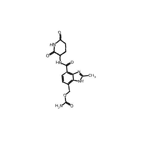 Cc1nc2c(C(=O)NC3CCC(=O)NC3=O)ccc(COC(N)=O)c2[nH]1